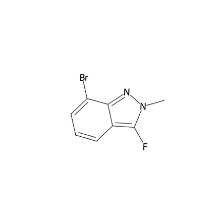 Cn1nc2c(Br)cccc2c1F